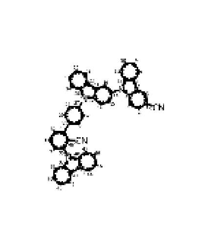 N#Cc1ccc2c(c1)c1ccccc1n2-c1ccc2c(c1)c1ccccc1n2-c1ccc(-c2cccc(-n3c4ccccc4c4ccccc43)c2C#N)cc1